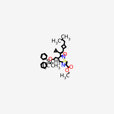 CCOC(=O)c1csc(CC(CCO[Si](c2ccccc2)(c2ccccc2)C(C)(C)C)c2noc(C3CC(CC(C)C)C3)c2C2CC2)n1